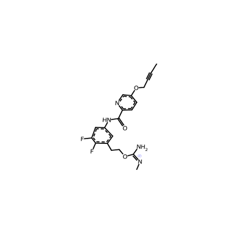 CC#CCOc1ccc(C(=O)Nc2cc(F)c(F)c(CCO/C(N)=N\C)c2)nc1